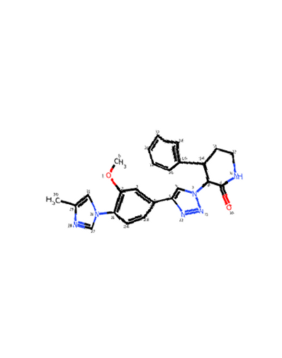 COc1cc(-c2cn(C3C(=O)NCCC3c3ccccc3)nn2)ccc1-n1cnc(C)c1